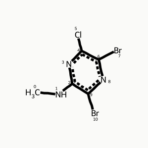 CNc1nc(Cl)c(Br)nc1Br